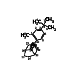 Cc1cc(C(C)(C)C)ccc1N1CC2CCC(C1)N2C